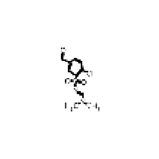 CN(C)/C=N/S(=O)(=O)c1cc([C]=O)ccc1Cl